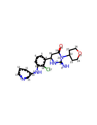 N=C1NC(c2cccc(Nc3cccnc3)c2Cl)CC(=O)N1C1CCOCC1